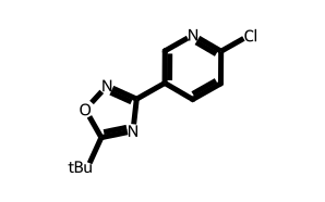 CC(C)(C)c1nc(-c2ccc(Cl)nc2)no1